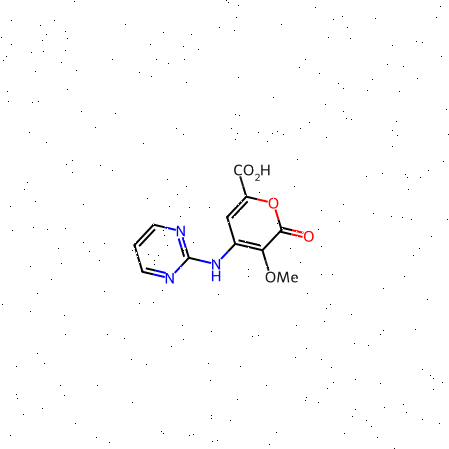 COc1c(Nc2ncccn2)cc(C(=O)O)oc1=O